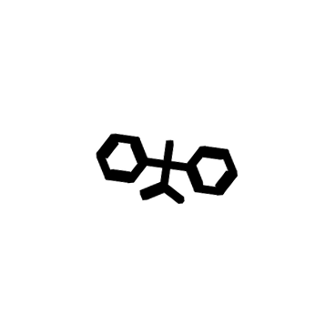 C=C(C)C(C)(c1ccccc1)c1ccccc1